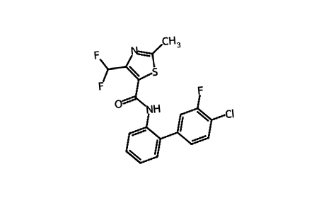 Cc1nc(C(F)F)c(C(=O)Nc2ccccc2-c2ccc(Cl)c(F)c2)s1